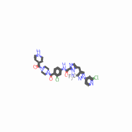 O=C(Nc1ccc(C(=O)N2CCN(C(=O)C3CCNCC3)CC2)c(Cl)c1)c1ncc(Cc2cn(-c3ccnc(Cl)c3)nc2C(F)(F)F)[nH]1